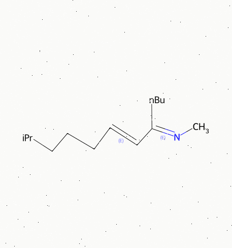 CCCCC(/C=C/CCCC(C)C)=N\C